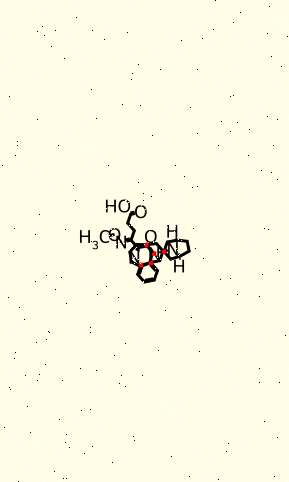 CON=C(CCC(=O)O)c1nc2ccccc2n([C@H]2C[C@H]3CC[C@@H](C2)N3C2CC3CCCCC(C3)C2)c1=O